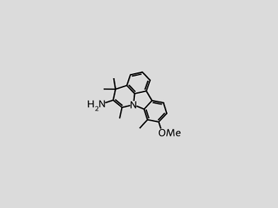 COc1ccc2c3cccc4c3n(c2c1C)C(C)=C(N)C4(C)C